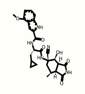 COc1cccc2[nH]c(C(=O)N[C@@H](CC3CC3)C(=O)N[C@@]3(C#N)C[C@H](C)[C@@H]4C(=O)NC(=O)[C@@H]4[C@@H]3O)cc12